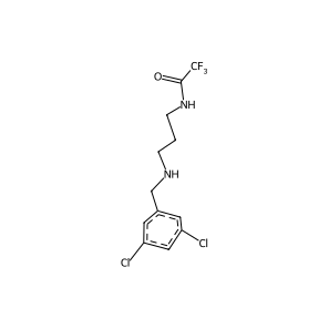 O=C(NCCCNCc1cc(Cl)cc(Cl)c1)C(F)(F)F